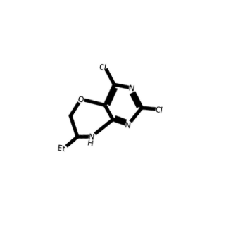 CCC1COc2c(Cl)nc(Cl)nc2N1